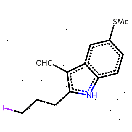 CSc1ccc2[nH]c(CCCI)c(C=O)c2c1